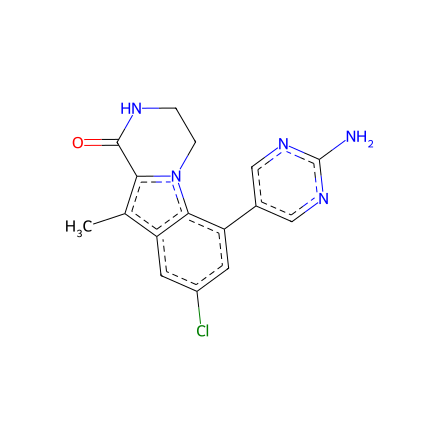 Cc1c2n(c3c(-c4cnc(N)nc4)cc(Cl)cc13)CCNC2=O